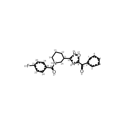 O=C(c1ccccc1)c1nc(C2CCCN(C(=O)c3ccc(F)cc3)C2)no1